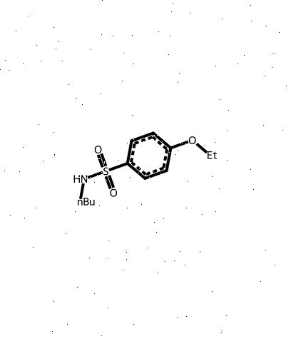 CCCCNS(=O)(=O)c1ccc(OCC)cc1